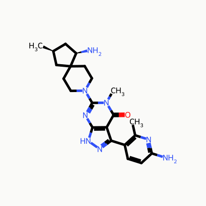 Cc1nc(N)ccc1-c1n[nH]c2nc(N3CCC4(CC3)C[C@@H](C)C[C@H]4N)n(C)c(=O)c12